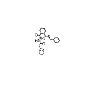 O=C(CC1CC2CCC1C2)Nn1nc(SCc2ccccc2)c2ccccc2c1=O